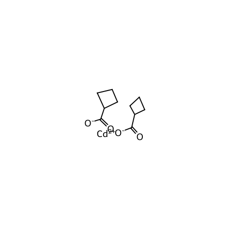 O=C([O-])C1CCC1.O=C([O-])C1CCC1.[Cd+2]